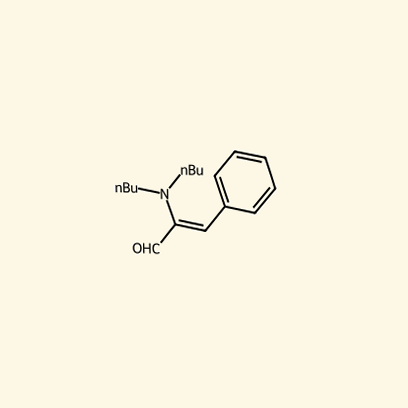 CCCCN(CCCC)C(C=O)=Cc1ccccc1